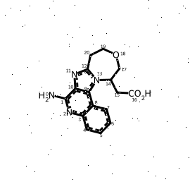 Nc1nc2ccccc2c2c1nc1n2C(CC(=O)O)COCC1